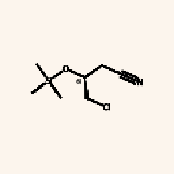 C[Si](C)(C)O[C@H](CCl)CC#N